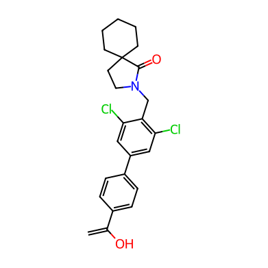 C=C(O)c1ccc(-c2cc(Cl)c(CN3CCC4(CCCCC4)C3=O)c(Cl)c2)cc1